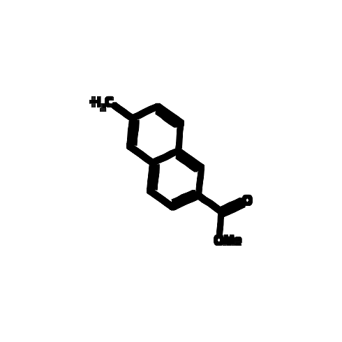 [CH2]c1ccc2cc(C(=O)OC)ccc2c1